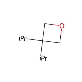 CC(C)C1(C(C)C)COC1